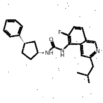 CC(C)Cc1cc2c(NC(=O)N[C@@H]3CC[C@H](c4ccccc4)C3)c(F)ccc2cn1